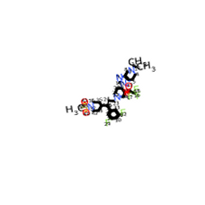 CC(C)N1CCC2=C(C1)N=C[N+]2(OC(=O)C(F)(F)F)C1CCN(CC[C@@H](c2cc(F)cc(F)c2)C2CCN(S(C)(=O)=O)CC2)CC1